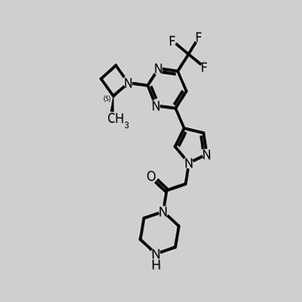 C[C@H]1CCN1c1nc(-c2cnn(CC(=O)N3CCNCC3)c2)cc(C(F)(F)F)n1